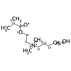 CC(C)C(=O)OCC[N+](C)(C)CCCOSO